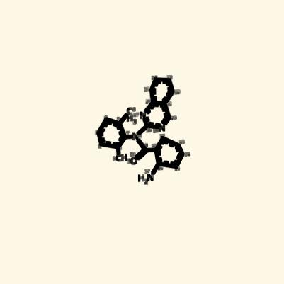 Cc1cccc(C)c1N(C(=O)c1ccccc1N)c1ncc2ccccc2n1